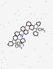 CC1(C)c2ccccc2-c2cccc(-c3ccccc3N(c3ccc(-c4ccc5c(c4)C(C)(c4ccccc4)c4ccccc4-5)cc3)c3ccccc3-c3ccc(-c4ccccc4)cc3)c21